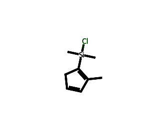 CC1=C([Si](C)(C)Cl)CC=C1